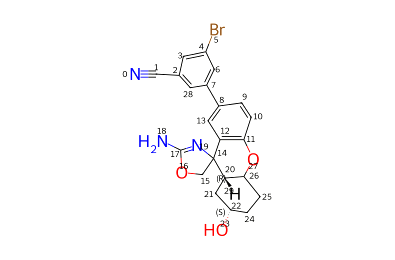 N#Cc1cc(Br)cc(-c2ccc3c(c2)C2(COC(N)=N2)[C@H]2C[C@@H](O)CCC2O3)c1